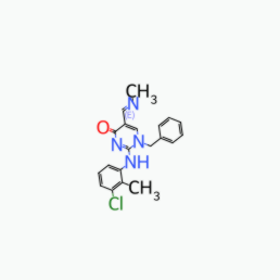 C/N=C/c1cn(Cc2ccccc2)c(Nc2cccc(Cl)c2C)nc1=O